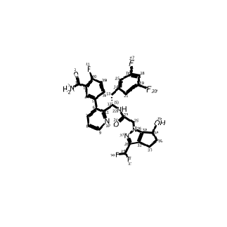 NC(=O)c1cc(-c2cccnc2[C@H](Cc2cc(F)cc(F)c2)NC(=O)Cn2nc(C(F)F)c3c2C(O)CC3)ccc1F